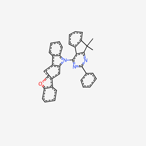 CC1(C)c2ccccc2-c2c(-n3c4ccccc4c4cc5oc6ccccc6c5cc43)nc(-c3ccccc3)nc21